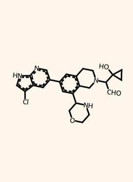 O=CC(N1CCc2cc(-c3cnc4[nH]cc(Cl)c4c3)cc(C3COCCN3)c2C1)C1(O)CC1